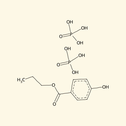 CCCOC(=O)c1ccc(O)cc1.O=P(O)(O)O.O=P(O)(O)O